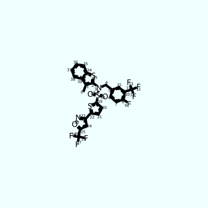 Cc1c(N(Cc2ccc(F)c(C(F)(F)F)c2)S(=O)(=O)c2ccc(-c3cc(C(F)(F)F)on3)s2)sc2ccccc12